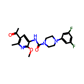 COc1nc(C)c(C(C)=O)cc1NC(=O)N1CCN(c2cc(F)cc(F)c2)CC1